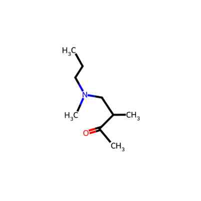 CCCN(C)CC(C)C(C)=O